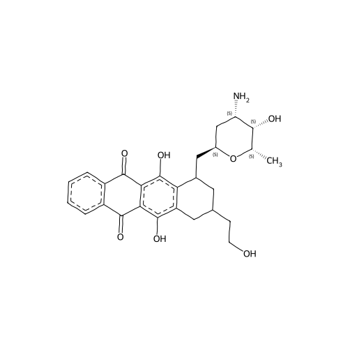 C[C@@H]1O[C@@H](CC2CC(CCO)Cc3c(O)c4c(c(O)c32)C(=O)c2ccccc2C4=O)C[C@H](N)[C@@H]1O